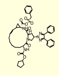 O=C(N[C@H]1CCCCC/C=C\C2C[C@@]2(C(=O)OS(=O)(=O)Cc2ccccc2)NC(=O)[C@@H]2C[C@@H](n3nc(-c4ccccc4)c(-c4ccccc4)n3)CN2C1=O)OC1CCCC1